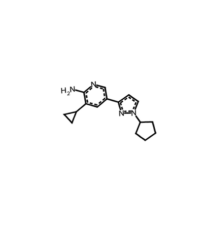 Nc1ncc(-c2ccn(C3CCCC3)n2)cc1C1CC1